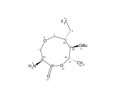 CC(C)CO[C@@H]1[C@@H](CC(F)(F)F)COC[C@H](N)C(=O)O[C@H]1C